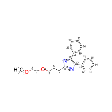 COCCOCCCC1=NC(c2ccccc2)=C(c2ccccc2)[N]1